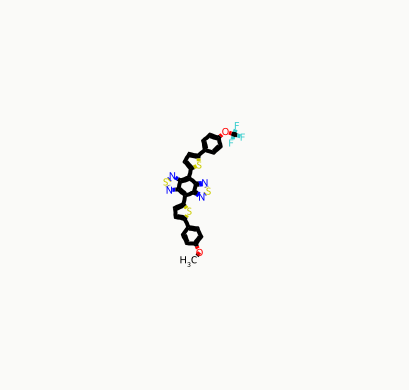 COc1ccc(-c2ccc(-c3c4c(c(-c5ccc(-c6ccc(OC(F)(F)F)cc6)s5)c5nsnc35)N=S=N4)s2)cc1